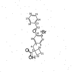 O=C(O)C1(Cc2ccc(Br)c(OCc3ccccc3)c2)CCC1